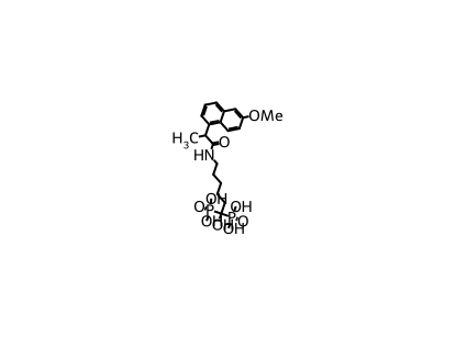 COc1ccc2c(C(C)C(=O)NCCCCCC(O)(P(=O)(O)O)P(=O)(O)O)cccc2c1